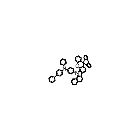 c1ccc(-c2ccc(N(c3ccccc3)c3ccc(-n4c5c6c(ccc5c5ccc7ccccc7c54)C4(c5ccccc5O6)c5ccccc5-c5ccccc54)cc3)cc2)cc1